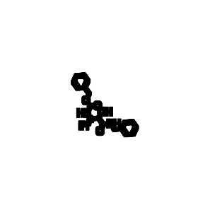 CC(C)[C@H](NC(=O)OCc1ccccc1)C(O)C(=O)NCc1ccccc1